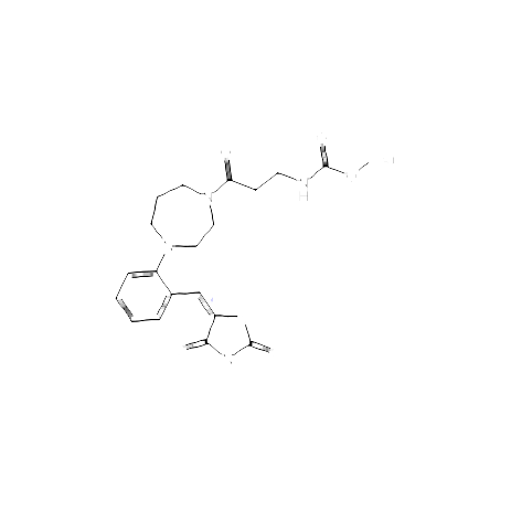 CC(C)(C)OC(=O)NCCC(=O)N1CCCN(c2ccccc2/C=C2/SC(=O)NC2=O)CC1